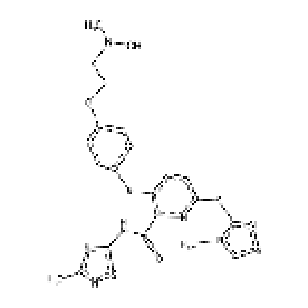 Cc1nsc(NC(=O)c2nc(Sc3nncn3C)ccc2Sc2ccc(OCCN(C)O)cc2)n1